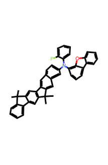 CC1(C)c2ccccc2-c2cc3c(cc21)-c1cc2ccc(N(c4ccccc4F)c4cccc5c4oc4ccccc45)cc2cc1C3(C)C